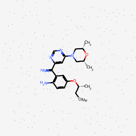 COC[C@@H](C)Oc1ccc(N)c(C(=N)c2cc(N3C[C@@H](C)O[C@@H](C)C3)ncn2)c1